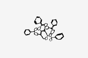 O=C(OC1COC(OC(=O)c2ccccc2)C(OC(=O)c2ccccc2)C1OC(=O)c1ccccc1)c1ccccc1